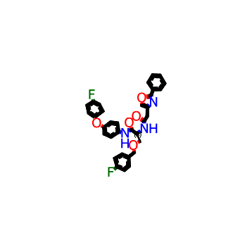 O=C(Cc1coc(-c2ccccc2)n1)N[C@@H](COCc1ccc(F)cc1)C(=O)Nc1ccc(Oc2ccc(F)cc2)cc1